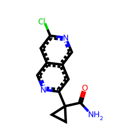 NC(=O)C1(c2cc3cnc(Cl)cc3cn2)CC1